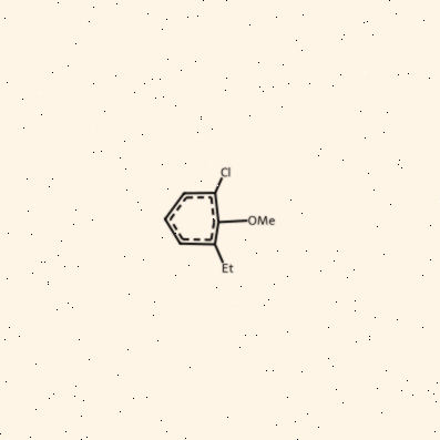 CCc1cccc(Cl)c1OC